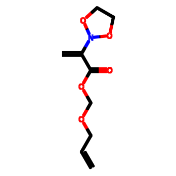 C=CCOCOC(=O)C(=C)N1OCCO1